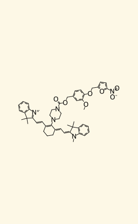 COc1cc(COC(=O)N2CCN(C3=C(/C=C/C4=[N+](C)c5ccccc5C4(C)C)CCC/C3=C\C=C3\N(C)c4ccccc4C3(C)C)CC2)ccc1OCc1ccc([N+](=O)[O-])o1